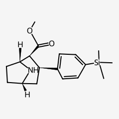 COC(=O)[C@H]1[C@@H](c2ccc([Si](C)(C)C)cc2)C[C@@H]2CC[C@H]1N2